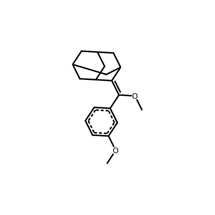 COC(=C1C2CC3CC(C2)CC1C3)c1cccc(OC)c1